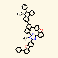 CC1C2CC=C(c3cccc(-c4ccc5oc6cccc(C7=NC(c8ccc9c(c8)oc8c(-c%10ccccc%10)cccc89)N(C)C(c8ccccc8)=N7)c6c5c4)c3)C=C2c2ccccc2C1c1ccccc1